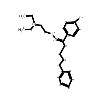 CCN(CC)CCON=C(CCCCc1ccccc1)c1ccc(F)cc1